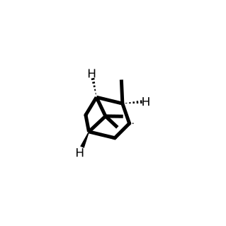 C[C@H]1[CH]C[C@@H]2C[C@@H]1C2(C)C